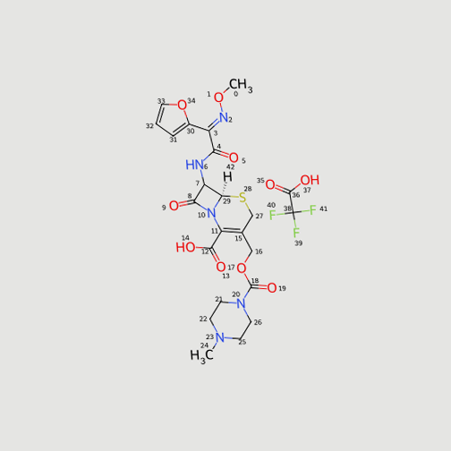 CO/N=C(/C(=O)NC1C(=O)N2C(C(=O)O)=C(COC(=O)N3CCN(C)CC3)CS[C@H]12)c1ccco1.O=C(O)C(F)(F)F